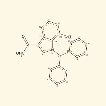 O=CC(=O)c1cn(C(c2ccccc2)c2ccccc2)c2c(Cl)cccc12